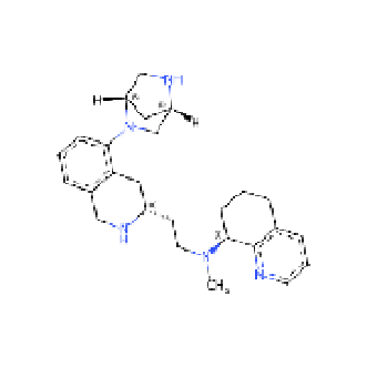 CN(CC[C@H]1Cc2c(cccc2N2C[C@@H]3C[C@H]2CN3)CN1)[C@H]1CCCc2cccnc21